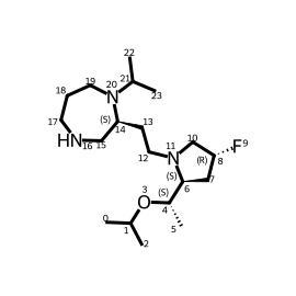 CC(C)O[C@@H](C)[C@@H]1C[C@@H](F)CN1CC[C@H]1CNCCCN1C(C)C